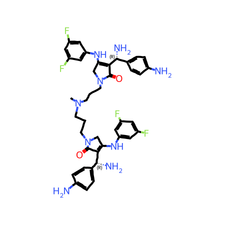 CN(CCCN1CC(Nc2cc(F)cc(F)c2)=C([C@H](N)c2ccc(N)cc2)C1=O)CCCN1CC(Nc2cc(F)cc(F)c2)=C([C@H](N)c2ccc(N)cc2)C1=O